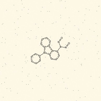 O=NB(N=O)c1cccc2c1c1ccccc1n2-c1ccccc1